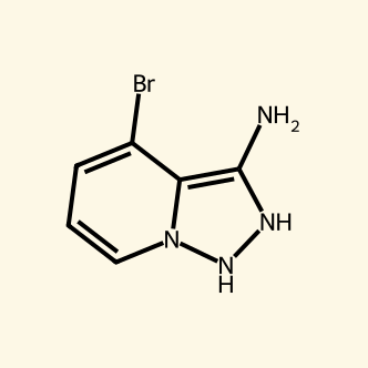 NC1=C2C(Br)=CC=CN2NN1